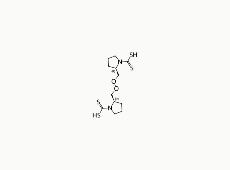 S=C(S)N1CCC[C@@H]1COOC[C@H]1CCCN1C(=S)S